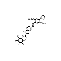 COc1cc(N2CCCC2)c(OC)cc1/N=N/c1ccc2[nH]c(C(=O)Oc3c(F)c(F)c(F)c(F)c3F)cc2c1